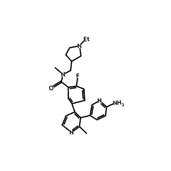 CCN1CCC(CN(C)C(=O)c2cc(-c3ccnc(C)c3-c3ccc(N)nc3)ccc2F)C1